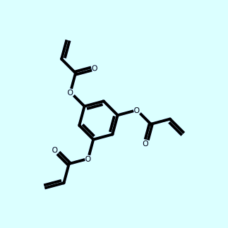 C=CC(=O)Oc1cc(OC(=O)C=C)cc(OC(=O)C=C)c1